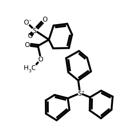 COC(=O)C1(S(=O)(=O)[O-])C=CC=CC1.c1ccc([S+](c2ccccc2)c2ccccc2)cc1